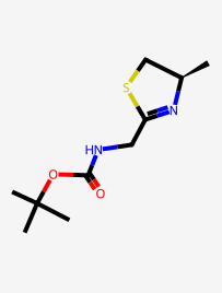 C[C@@H]1CSC(CNC(=O)OC(C)(C)C)=N1